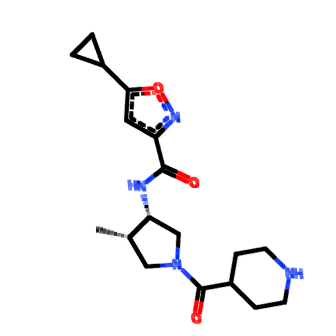 C[C@H]1CN(C(=O)C2CCNCC2)C[C@H]1NC(=O)c1cc(C2CC2)on1